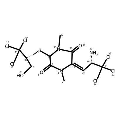 CN1C(=O)C(C[C@H](CO)C(Cl)(Cl)Cl)N(C)C(=O)/C1=C\[C@H](N)C(Cl)(Cl)Cl